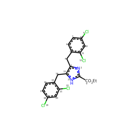 CCOC(=O)c1nc(Cc2ccc(Cl)cc2Cl)c(Cc2ccc(Cl)cc2Cl)[nH]1